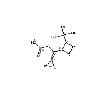 CC(C)(C)C1CC[C@H]1C(CC(=O)O)=C1CC1